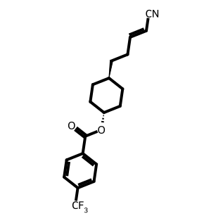 N#C/C=C/CC[C@H]1CC[C@H](OC(=O)c2ccc(C(F)(F)F)cc2)CC1